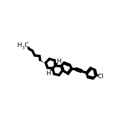 CCCCCC[C@@H]1CC[C@@H]2c3ccc(C#Cc4ccc(Cl)cc4)cc3CC[C@@H]2C1